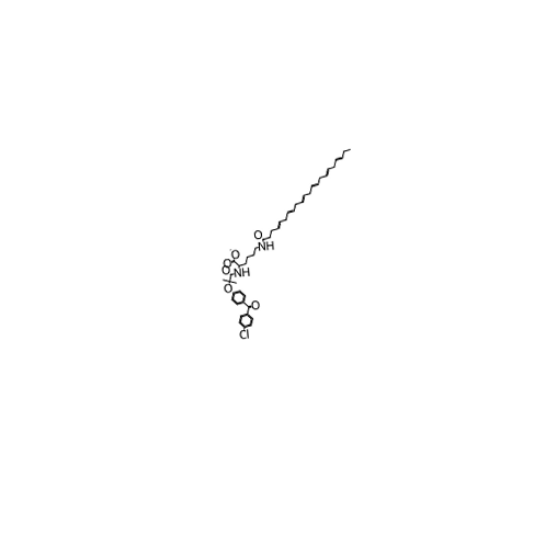 CCC=CCC=CCC=CCC=CCC=CCC=CCCC(=O)NCCCCC(NC(=O)C(C)(C)Oc1ccc(C(=O)c2ccc(Cl)cc2)cc1)C(=O)OC